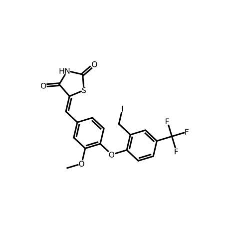 COc1cc(/C=C2\SC(=O)NC2=O)ccc1Oc1ccc(C(F)(F)F)cc1CI